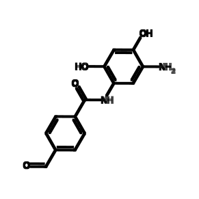 Nc1cc(NC(=O)c2ccc(C=O)cc2)c(O)cc1O